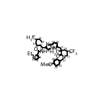 CCn1nccc1C(=O)N[C@H](c1cn2nc(CC3(C)C[C@@H](C(F)(F)F)CN(Cc4ccc(OC)cc4)C3=O)ccc2n1)[C@H]1CC[C@H](C)CC1